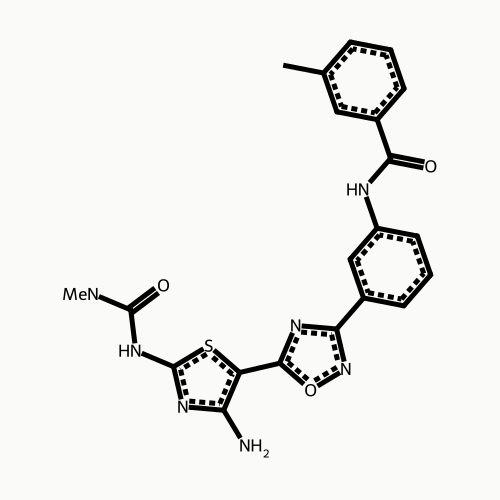 CNC(=O)Nc1nc(N)c(-c2nc(-c3cccc(NC(=O)c4cccc(C)c4)c3)no2)s1